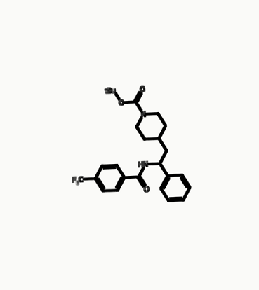 CC(C)(C)OC(=O)N1CCC(CC(NC(=O)c2ccc(C(F)(F)F)cc2)c2ccccc2)CC1